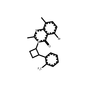 Cc1ccc(Br)c2c(=O)n(C3CCC3c3ccccc3C(F)(F)F)c(C)nc12